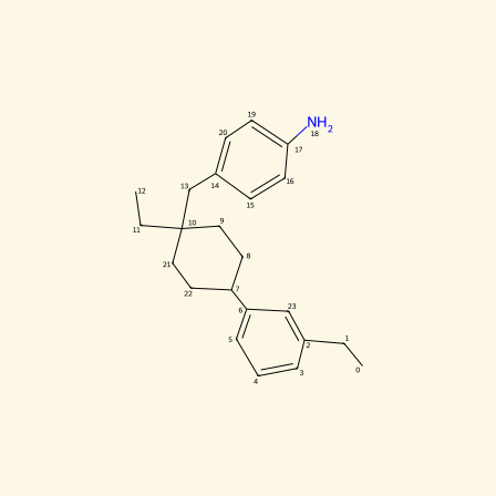 CCc1cccc(C2CCC(CC)(Cc3ccc(N)cc3)CC2)c1